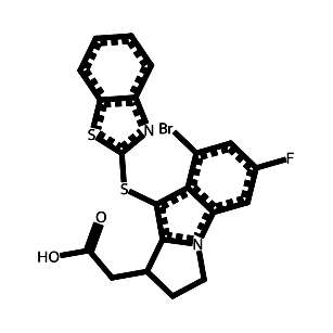 O=C(O)CC1CCn2c1c(Sc1nc3ccccc3s1)c1c(Br)cc(F)cc12